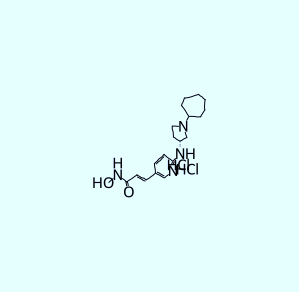 Cl.Cl.O=C(C=Cc1ccc(N[C@@H]2CCN(C3CCCCCC3)C2)nc1)NO